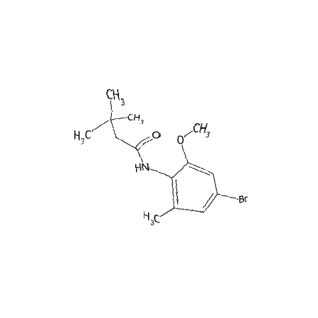 COc1cc(Br)cc(C)c1NC(=O)CC(C)(C)C